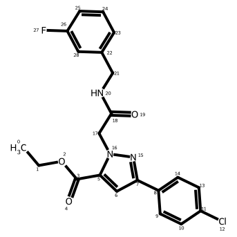 CCOC(=O)c1cc(-c2ccc(Cl)cc2)nn1CC(=O)NCc1cccc(F)c1